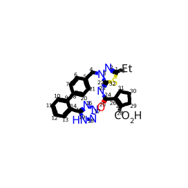 CCc1nn(Cc2ccc(-c3ccccc3-c3nnn[nH]3)cc2)/c(=N/C(=O)C2=C(C(=O)O)CCC2)s1